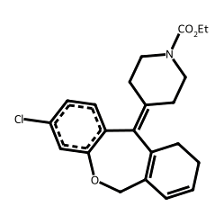 CCOC(=O)N1CCC(=C2C3=C(C=CCC3)COc3cc(Cl)ccc32)CC1